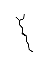 CCCCC=CCCC(C)CC